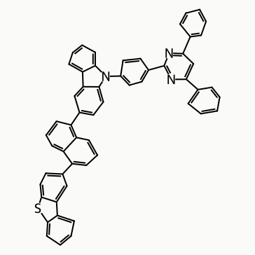 c1ccc(-c2cc(-c3ccccc3)nc(-c3ccc(-n4c5ccccc5c5cc(-c6cccc7c(-c8ccc9sc%10ccccc%10c9c8)cccc67)ccc54)cc3)n2)cc1